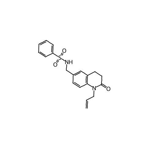 C=CCN1C(=O)CCc2cc(CNS(=O)(=O)c3ccccc3)ccc21